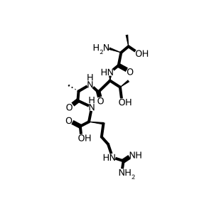 C[C@H](NC(=O)[C@@H](NC(=O)[C@@H](N)[C@@H](C)O)[C@@H](C)O)C(=O)N[C@@H](CCCNC(=N)N)C(=O)O